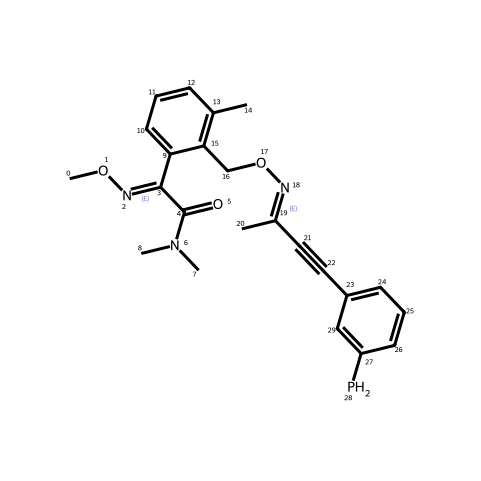 CO/N=C(/C(=O)N(C)C)c1cccc(C)c1CO/N=C(\C)C#Cc1cccc(P)c1